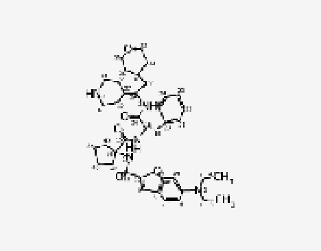 CCN(CC)c1ccc2cc(C(=O)NC3(C(=O)NC(Cc4ccccc4)C(=O)N[C@H](CC4CCOCC4)C4CCNCC4)CCCC3)oc2c1